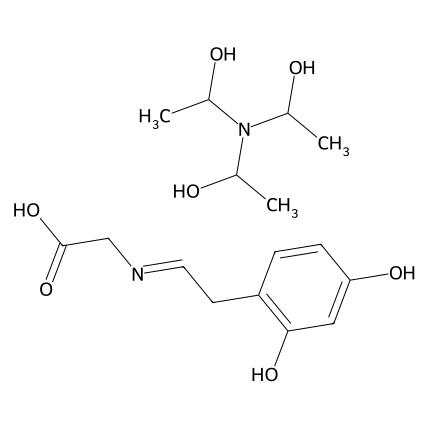 CC(O)N(C(C)O)C(C)O.O=C(O)CN=CCc1ccc(O)cc1O